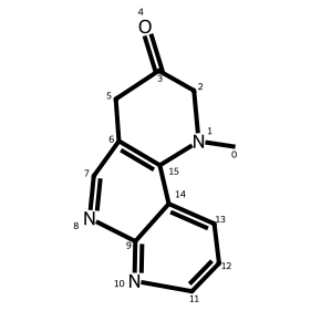 CN1CC(=O)Cc2cnc3ncccc3c21